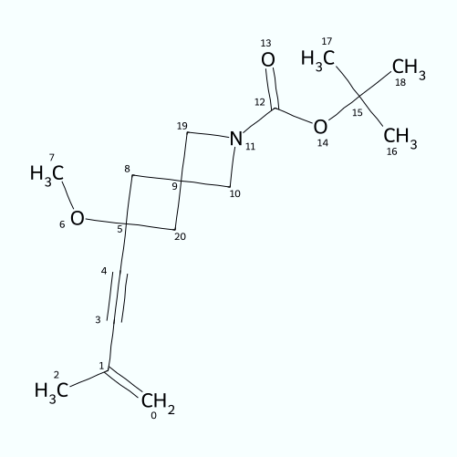 C=C(C)C#CC1(OC)CC2(CN(C(=O)OC(C)(C)C)C2)C1